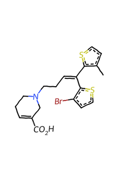 Cc1ccsc1C(=CCCN1CCC=C(C(=O)O)C1)c1sccc1Br